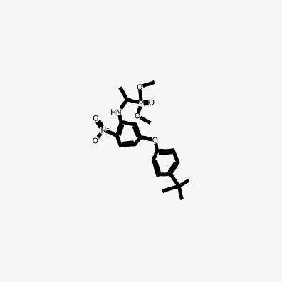 COP(=O)(OC)C(C)Nc1cc(Oc2ccc(C(C)(C)C)cc2)ccc1[N+](=O)[O-]